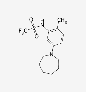 Cc1ccc(N2CCCCCC2)cc1NS(=O)(=O)C(F)(F)F